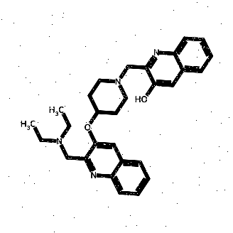 CCN(CC)Cc1nc2ccccc2cc1OC1CCN(Cc2nc3ccccc3cc2O)CC1